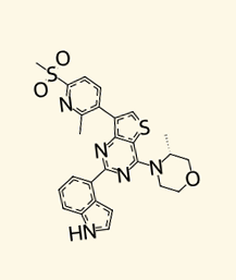 Cc1nc(S(C)(=O)=O)ccc1-c1csc2c(N3CCOC[C@H]3C)nc(-c3cccc4[nH]ccc34)nc12